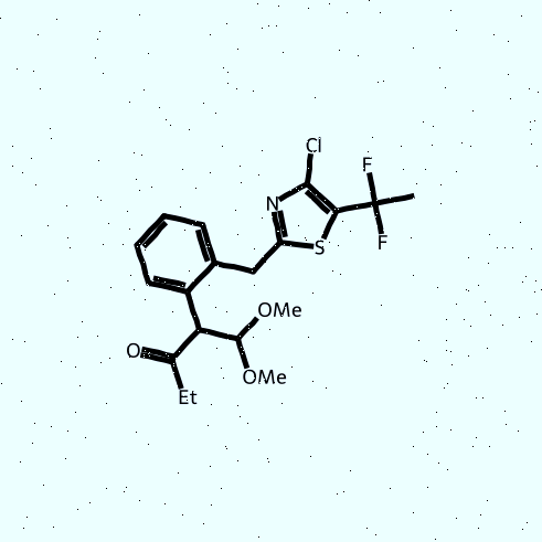 CCC(=O)C(c1ccccc1Cc1nc(Cl)c(C(C)(F)F)s1)C(OC)OC